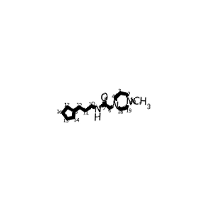 CN1CCCN(CC(=O)NCCCC2CCCC2)CC1